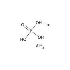 O=P(O)(O)O.[AlH3].[La]